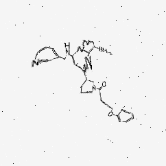 Bc1cnn2c(NCc3cccnc3)cc(C3CCCN(C(=O)CCOc4ccccc4)C3)nc12